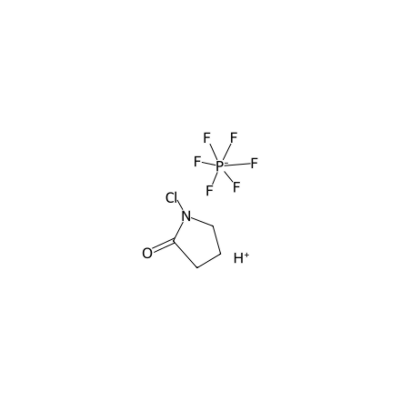 F[P-](F)(F)(F)(F)F.O=C1CCCN1Cl.[H+]